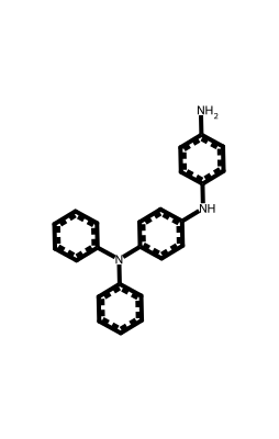 Nc1ccc(Nc2ccc(N(c3ccccc3)c3ccccc3)cc2)cc1